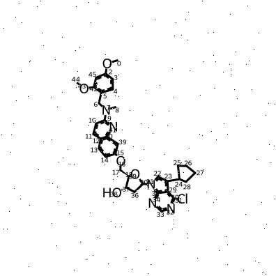 COc1ccc(CN(C)c2ccc3ccc(OC[C@H]4OC(n5cc(C6CCCC6)c6c(Cl)ncnc65)C[C@@H]4O)cc3n2)c(OC)c1